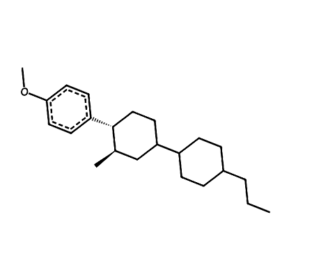 CCCC1CCC(C2CC[C@@H](c3ccc(OC)cc3)[C@H](C)C2)CC1